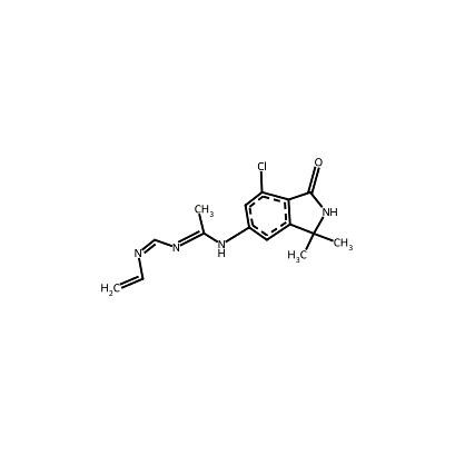 C=C/N=C\N=C(/C)Nc1cc(Cl)c2c(c1)C(C)(C)NC2=O